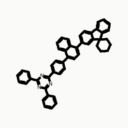 c1ccc(-c2nc(-c3ccccc3)nc(-c3ccc(-c4ccc(-c5ccc6c(c5)C5(CCCCC5)c5ccccc5-6)c5ccccc45)cc3)n2)cc1